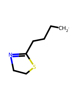 [CH2]CCCC1=NCCS1